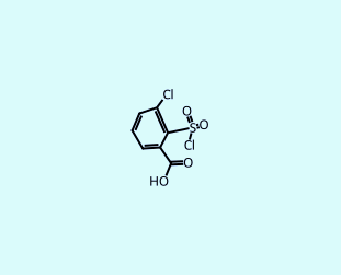 O=C(O)c1cccc(Cl)c1S(=O)(=O)Cl